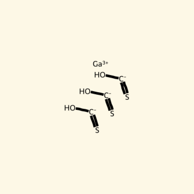 O[C-]=S.O[C-]=S.O[C-]=S.[Ga+3]